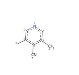 Cc1cncc(C(F)(F)F)c1C#N